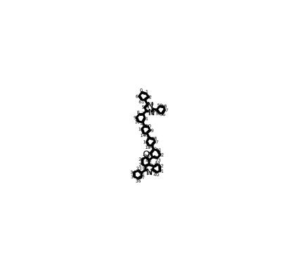 c1ccc(-c2cc(-c3cccc(-c4ccc(-c5ccc(-c6cccc7c6oc6ccc8c(-c9ccccc9)nc9ccccc9c8c67)cc5)cc4)c3)nc(-c3ccccc3)n2)cc1